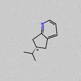 CC(C)[C@H]1Cc2cccnc2C1